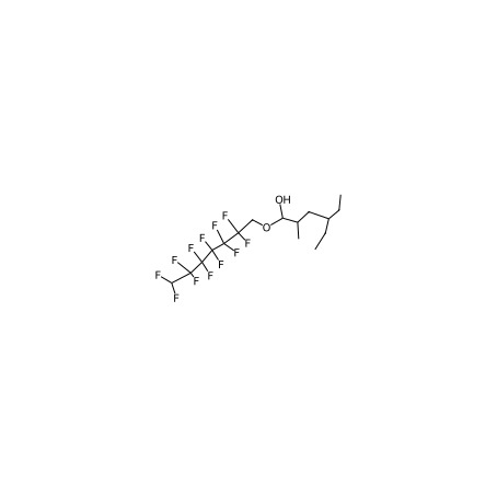 CCC(CC)CC(C)C(O)OCC(F)(F)C(F)(F)C(F)(F)C(F)(F)C(F)(F)C(F)F